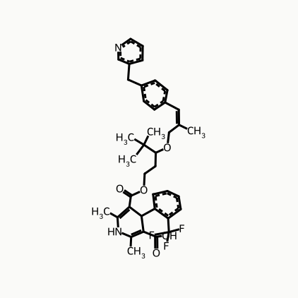 CC(=Cc1ccc(Cc2cccnc2)cc1)COC(CCOC(=O)C1=C(C)NC(C)=C(C(=O)O)C1c1ccccc1C(F)(F)F)C(C)(C)C